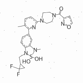 Cc1ccc(N2CCN(C(=O)c3ccon3)CC2)nc1-c1ccc2c(c1)N(C)S(O)(O)N2CC1CC1(F)F